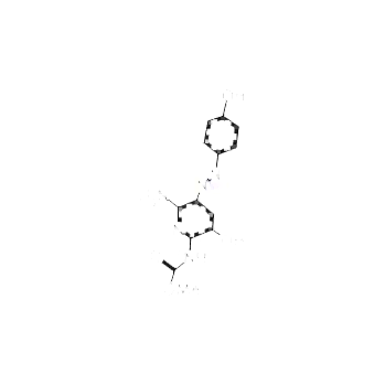 COC(=O)Nc1nc(N)c(/N=N/c2ccc(O)cc2)cc1O